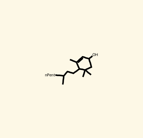 CCCCCC(C)CCC1C(C)=CC(O)CC1(C)C